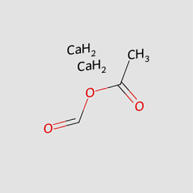 CC(=O)OC=O.[CaH2].[CaH2]